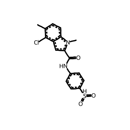 Cc1ccc2c(cc(C(=O)Nc3ccc([SH](=O)=O)cc3)n2C)c1Cl